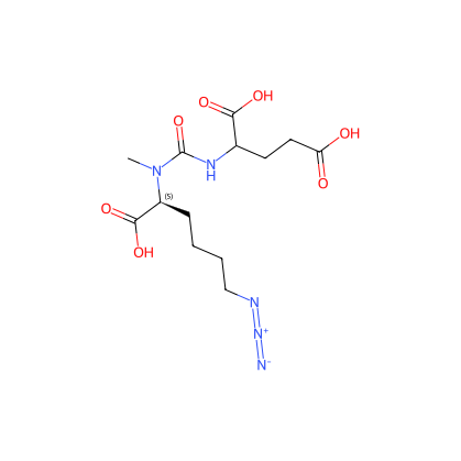 CN(C(=O)NC(CCC(=O)O)C(=O)O)[C@@H](CCCCN=[N+]=[N-])C(=O)O